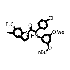 CCCCOc1cc(NC(C(=O)n2ccc3cc(F)c(C(F)(F)F)cc32)c2ccc(Cl)cc2)cc(OC)c1